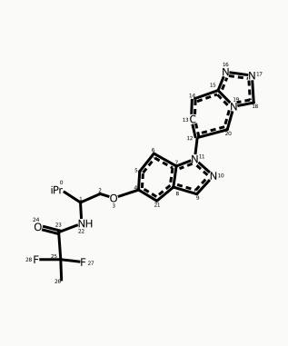 CC(C)C(COc1ccc2c(cnn2-c2ccc3nncn3c2)c1)NC(=O)C(C)(F)F